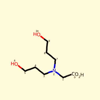 O=C(O)CN(CCCO)CCCO